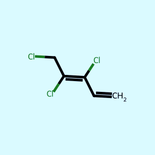 C=CC(Cl)=C(Cl)CCl